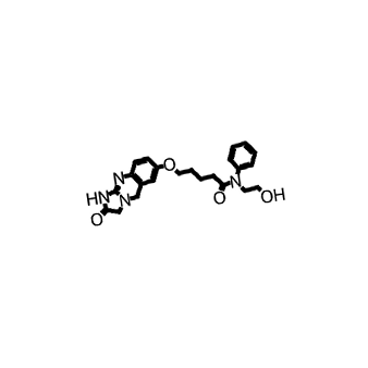 O=C1CN2Cc3cc(OCCCCC(=O)N(CCO)c4ccccc4)ccc3N=C2N1